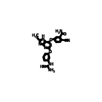 CCc1nc2nc(Oc3cccc(NC(=N)N)c3)nc(Oc3ccc(C#N)c(C(N)=O)c3)c2[nH]1